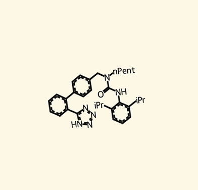 CCCCCN(Cc1ccc(-c2ccccc2-c2nnn[nH]2)cc1)C(=O)Nc1c(C(C)C)cccc1C(C)C